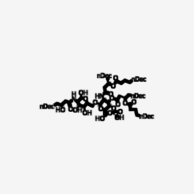 CCCCCCCCCCCCCC(=O)O[C@H](CCCCCCCCCCC)CC(=O)N[C@H]1C(OC(=O)C[C@@H](CCCCCCCCCCC)OC(=O)CCCCCCCCCCCCC)[C@H](OP(=O)(O)O)C(CO)O[C@H]1OCC1O[C@H](O)C(NC(=O)C[C@H](O)CCCCCCCCCCC)[C@@H](O)[C@@H]1O